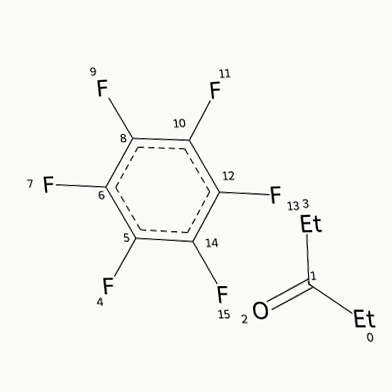 CCC(=O)CC.Fc1c(F)c(F)c(F)c(F)c1F